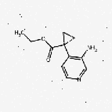 CCOC(=O)C1(c2ccncc2N)CC1